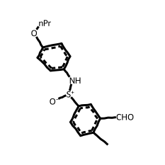 CCCOc1ccc(N[S+]([O-])c2ccc(C)c(C=O)c2)cc1